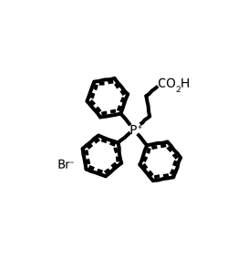 O=C(O)CC[P+](c1ccccc1)(c1ccccc1)c1ccccc1.[Br-]